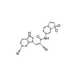 N#CC(=Cc1c[nH]c2ccc(C#N)cc12)C(=O)Nc1ccc2c(c1)S(=O)(=O)C=C2